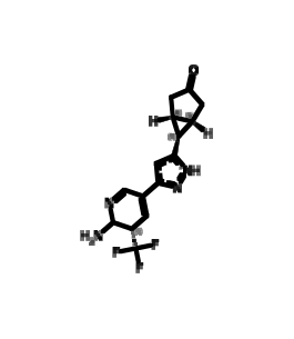 NC1N=CC(c2cc([C@H]3[C@@H]4CC(=O)C[C@@H]43)[nH]n2)=C[C@@H]1C(F)(F)F